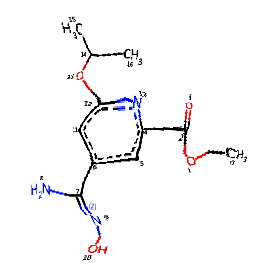 COC(=O)c1cc(/C(N)=N/O)cc(OC(C)C)n1